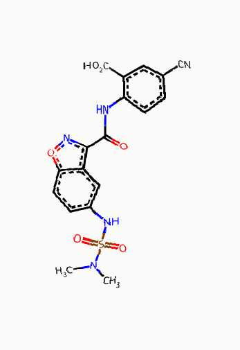 CN(C)S(=O)(=O)Nc1ccc2onc(C(=O)Nc3ccc(C#N)cc3C(=O)O)c2c1